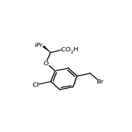 CC(C)[C@H](Oc1cc(CBr)ccc1Cl)C(=O)O